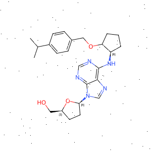 CC(C)c1ccc(COC2CCC[C@H]2Nc2ncnc3c2ncn3[C@H]2CC[C@@H](CO)O2)cc1